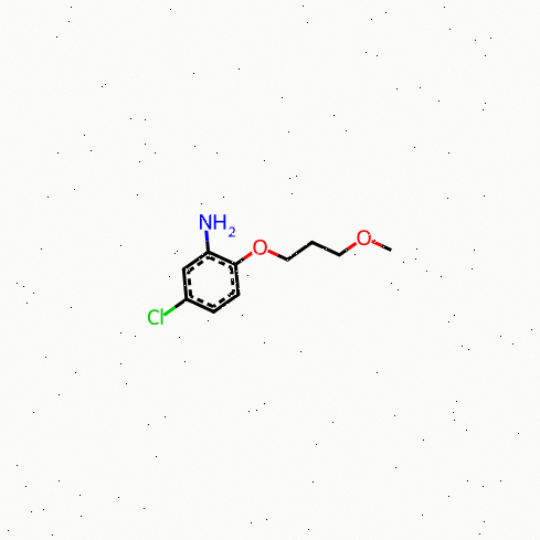 COCCCOc1ccc(Cl)cc1N